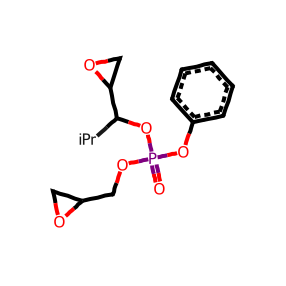 CC(C)C(OP(=O)(OCC1CO1)Oc1ccccc1)C1CO1